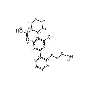 Cc1cc(-c2ccccc2CCCO)ccc1C1CCCCN1C(=O)O